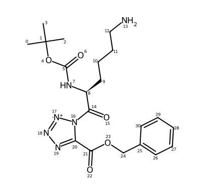 CC(C)(C)OC(=O)N[C@@H](CCCCN)C(=O)N1[N+]=NN=C1C(=O)OCc1ccccc1